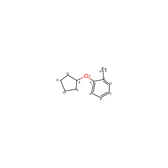 [CH2]Cc1ccccc1OC1CCCC1